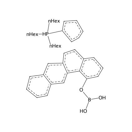 CCCCCC[PH](CCCCCC)(CCCCCC)c1ccccc1.OB(O)Oc1cccc2ccc3cc4ccccc4cc3c12